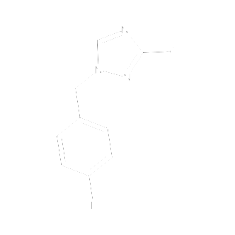 Fc1ccc(Cn2cnc(Cl)n2)cc1